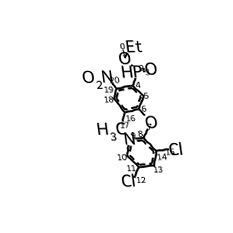 CCO[PH](=O)c1cc(Oc2ncc(Cl)cc2Cl)c(C)cc1[N+](=O)[O-]